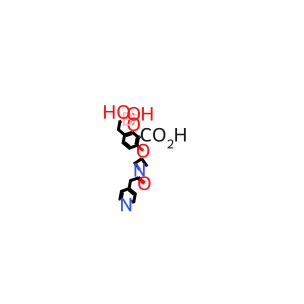 O=C(O)c1c(OC2CN(C(=O)Cc3ccncc3)C2)ccc2c1O[B-](O)(O)CC2